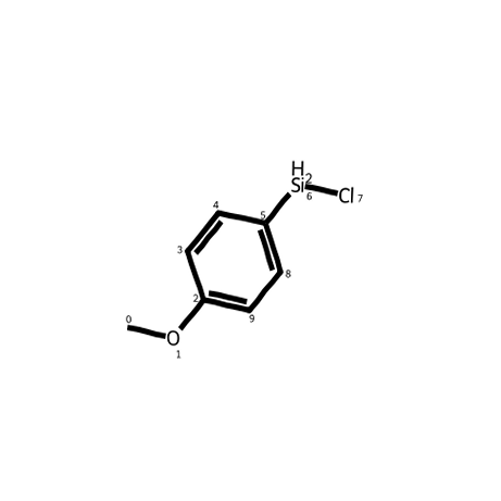 COc1ccc([SiH2]Cl)cc1